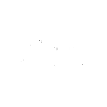 CC(C)(C)c1cc(NC(=O)C2COCCN2)no1